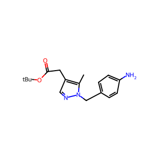 Cc1c(CC(=O)OC(C)(C)C)cnn1Cc1ccc(N)cc1